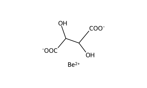 O=C([O-])C(O)C(O)C(=O)[O-].[Be+2]